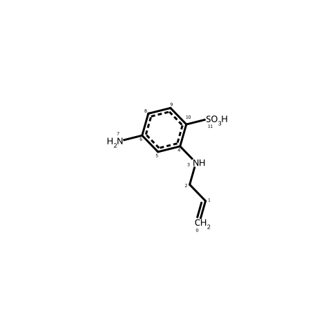 C=CCNc1cc(N)ccc1S(=O)(=O)O